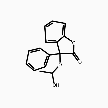 CC(O)OC1(c2ccccc2)C(=O)Oc2ccccc21